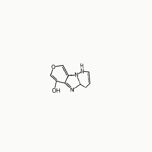 OC1=COC=C2C1=NC1CC=CNN21